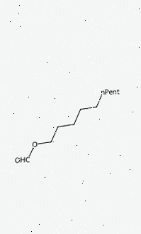 [CH2]CCCCCCCC[CH]OC=O